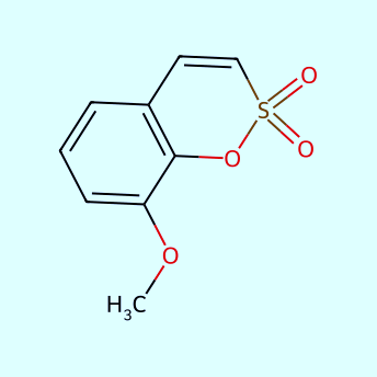 COc1cccc2c1OS(=O)(=O)C=C2